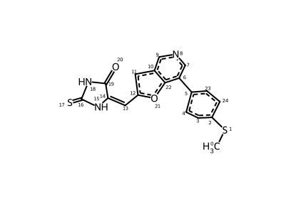 CSc1ccc(-c2cncc3cc(/C=C4/NC(=S)NC4=O)oc23)cc1